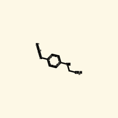 [N-]=[N+]=Nc1ccc(NCC(=O)O)cc1